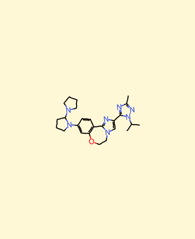 Cc1nc(-c2cn3c(n2)-c2ccc(N4CCCC4N4CCCC4)cc2OCC3)n(C(C)C)n1